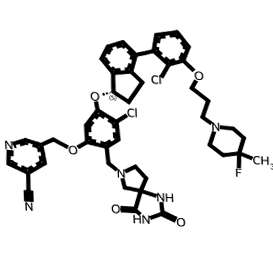 CC1(F)CCN(CCCOc2cccc(-c3cccc4c3CC[C@@H]4Oc3cc(OCc4cncc(C#N)c4)c(CN4CCC5(C4)NC(=O)NC5=O)cc3Cl)c2Cl)CC1